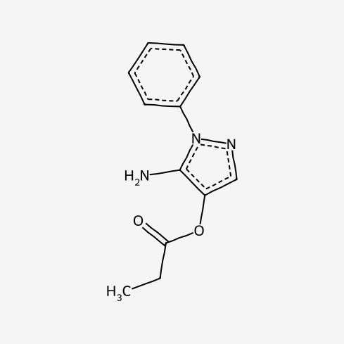 CCC(=O)Oc1cnn(-c2ccccc2)c1N